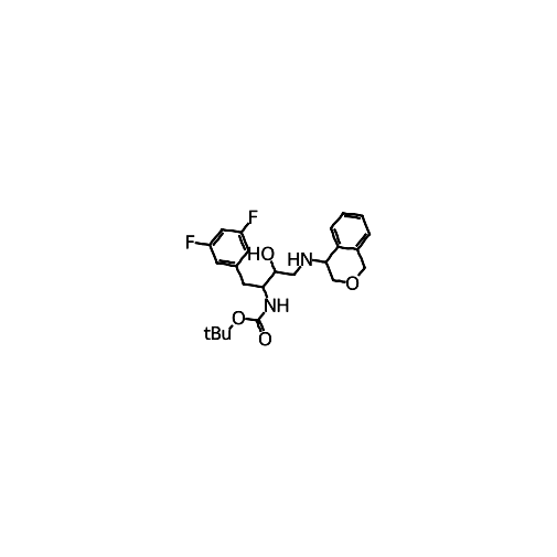 CC(C)(C)OC(=O)NC(Cc1cc(F)cc(F)c1)C(O)CNC1COCc2ccccc21